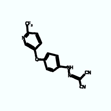 N#CC(C#N)=NNc1ccc(Oc2ccc(C(F)(F)F)nc2)cc1